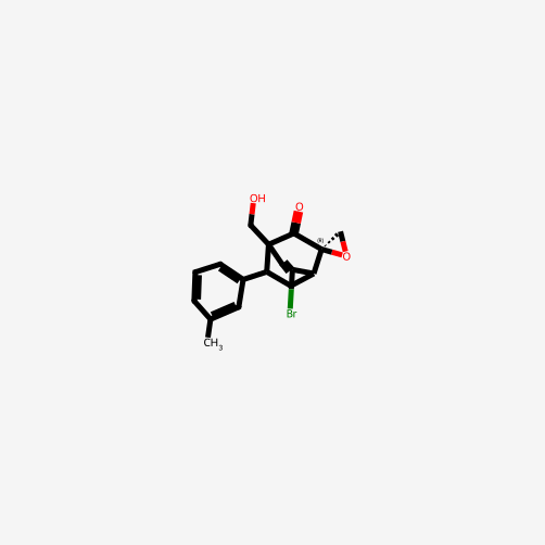 Cc1cccc(C2CC3C(Br)=CC2(CO)C(=O)[C@]32CO2)c1